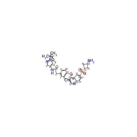 Cc1cc(CC(=O)Nc2cnn(C(C)(C)C)c2)ccc1Oc1ccnc2ccc(S(=O)(=O)C3CC(N)C3)cc12